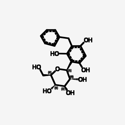 OC[C@H]1O[C@@H](c2c(O)cc(O)c(Cc3ccccc3)c2O)[C@H](O)[C@@H](O)[C@@H]1O